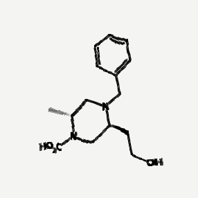 C[C@@H]1CN(Cc2ccccc2)[C@@H](CCO)CN1C(=O)O